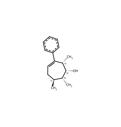 C[C@H]1[C@@H](O)[C@@H](C)C(c2ccccc2)=CC[C@@H]1C